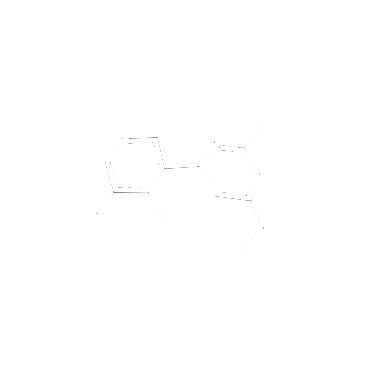 CCCNc1cc(-c2cccc(Cl)c2C)nc(N)n1